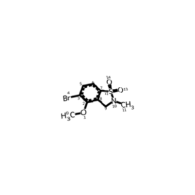 COc1c(Br)ccc2c1CN(C)S2(=O)=O